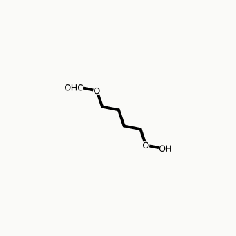 O=COCCCCOO